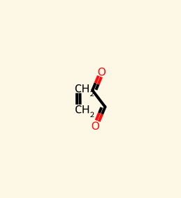 C=C.O=CC=O